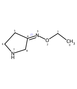 CCO/N=C1/CCNC1